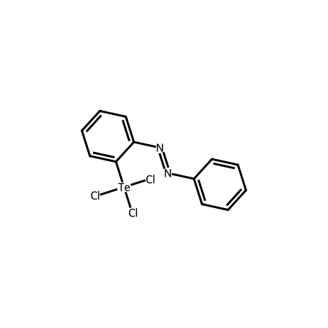 Cl[Te](Cl)(Cl)c1ccccc1N=Nc1ccccc1